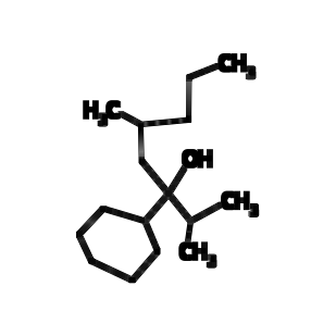 CCCC(C)CC(O)(C(C)C)C1CCCCC1